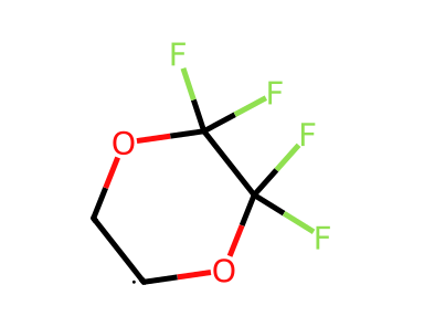 FC1(F)O[CH]COC1(F)F